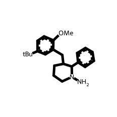 COc1ccc(C(C)(C)C)cc1CC1CCCN(N)C1c1ccccc1